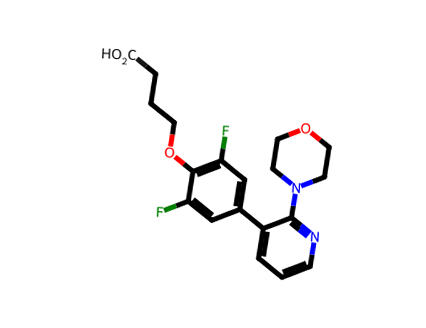 O=C(O)CCCOc1c(F)cc(-c2cccnc2N2CCOCC2)cc1F